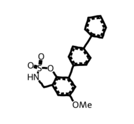 COc1cc2c(c(-c3ccc(-c4ccccc4)cc3)c1)OS(=O)(=O)NC2